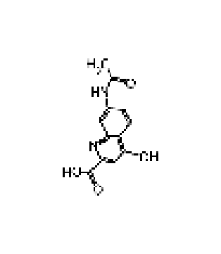 CC(=O)Nc1ccc2c(O)cc(C(=O)O)nc2c1